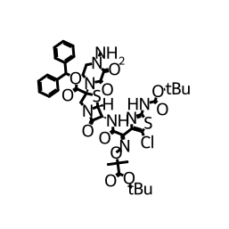 CC(C)(C)OC(=O)Nc1nc(/C(=N/OC(C)(C)C(=O)OC(C)(C)C)C(=O)N[C@@H]2C(=O)N3C[C@@](C(=O)OC(c4ccccc4)c4ccccc4)(N4CCN(N)C(=O)C4=O)S[C@H]23)c(Cl)s1